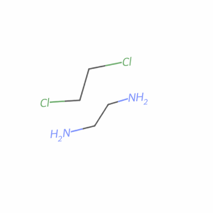 ClCCCl.NCCN